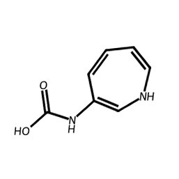 O=C(O)NC1=CNC=CC=C1